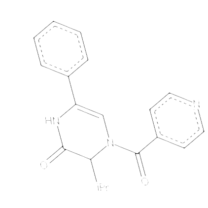 CC(C)C1C(=O)NC(c2ccccc2)=CN1C(=O)c1ccncc1